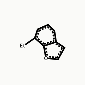 CCc1cccc2ccoc12